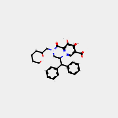 O=C(O)c1cn2c(c(O)c1=O)C(=O)N(CC1CCCCO1)CC2C(c1ccccc1)c1ccccc1